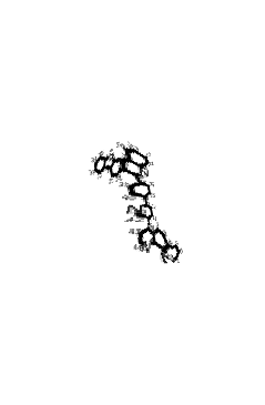 c1cnc2c(c1)ccc1c(-c3ccc(-c4ccc(-c5nc6ccccc6c6c5ccc5c7ccccc7sc56)cc4)nc3)ccnc12